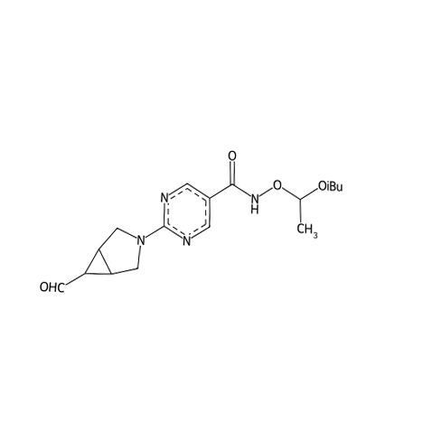 CC(C)COC(C)ONC(=O)c1cnc(N2CC3C(C=O)C3C2)nc1